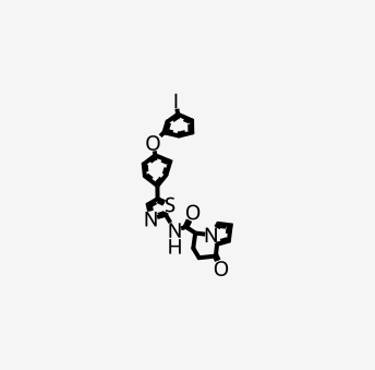 O=C1CCC(C(=O)Nc2ncc(-c3ccc(Oc4cccc(I)c4)cc3)s2)n2cccc21